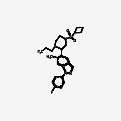 Cc1cc2c(cnn2-c2ccc(F)cc2)cc1C1CN(S(=O)(=O)C2CCC2)CCN1CCC(F)(F)F